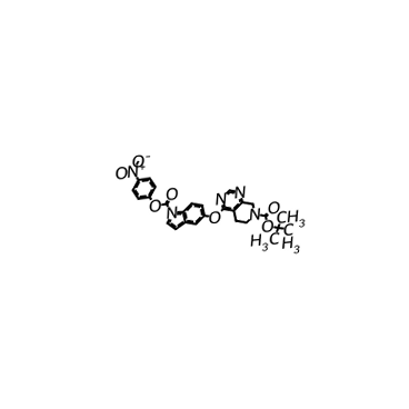 CC(C)(C)OC(=O)N1CCc2c(ncnc2Oc2ccc3c(ccn3C(=O)Oc3ccc([N+](=O)[O-])cc3)c2)C1